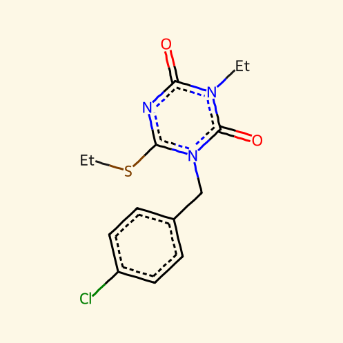 CCSc1nc(=O)n(CC)c(=O)n1Cc1ccc(Cl)cc1